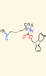 CC(C)NCCCC[C@H](NC(=O)OCC1c2ccccc2-c2ccccc21)C(=O)O